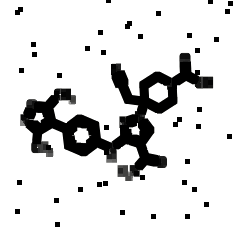 Cc1noc(C)c1-c1ccc(Nc2nn(C3(CC#N)CCN(C(=O)O)CC3)cc2C(N)=O)cc1